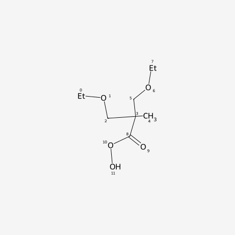 CCOCC(C)(COCC)C(=O)OO